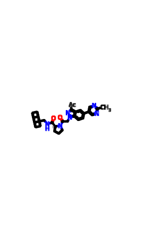 CC(=O)c1nn(CC(=O)N2CCC[C@H]2C(=O)NCC23C4C5C6C4C2C6C53)c2ccc(-c3cnc(C)nc3)cc12